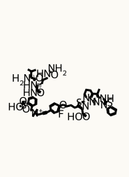 Cc1c(Nc2nc3ccccc3s2)nnc2c1CCCN2c1nc(C(=O)O)c(CCCOc2ccc(C#CC[N+](C)(C)Cc3ccc(NC(=O)[C@H](CCCNC(N)=O)NC(=O)[C@@H](N)C(C)C)cc3S(=O)(=O)O)cc2F)s1